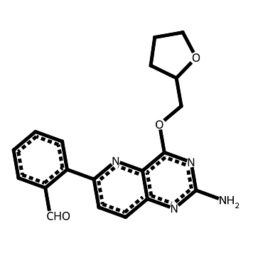 Nc1nc(OCC2CCCO2)c2nc(-c3ccccc3C=O)ccc2n1